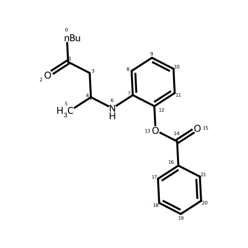 CCCCC(=O)C[C](C)Nc1ccccc1OC(=O)c1ccccc1